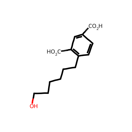 O=C(O)c1ccc(CCCCCCO)c(C(=O)O)c1